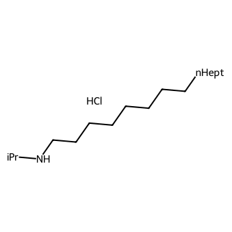 CCCCCCCCCCCCCCCNC(C)C.Cl